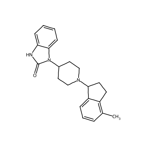 Cc1cccc2c1CCC2N1CCC(n2c(=O)[nH]c3ccccc32)CC1